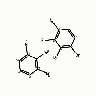 Brc1ccc(Br)c(Br)c1Br.Brc1cccc(Br)c1Br